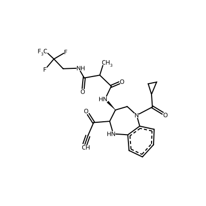 C#CC(=O)C1Nc2ccccc2N(C(=O)C2CC2)C[C@@H]1NC(=O)C(C)C(=O)NCC(F)(F)C(F)(F)F